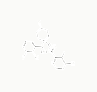 Cc1c(Cl)ccnc1C(=O)NC(c1cccc(F)c1Cl)[C@]1(O)CC[C@H](F)CC1